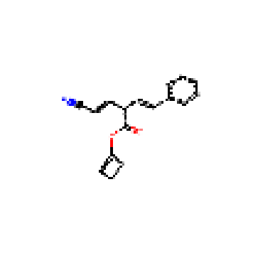 N#CC=CC(C=Cc1ccccc1)C(=O)OC1=CCC1